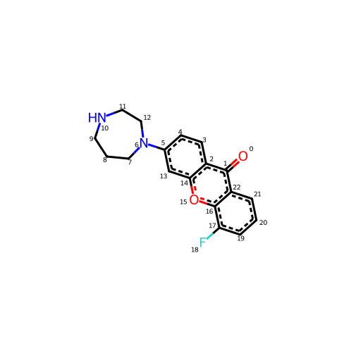 O=c1c2ccc(N3CCCNCC3)cc2oc2c(F)cccc12